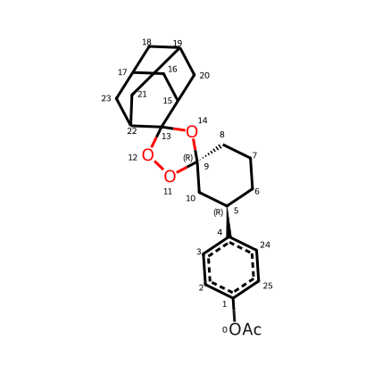 CC(=O)Oc1ccc([C@@H]2CCC[C@]3(C2)OOC2(O3)C3CC4CC(C3)CC2C4)cc1